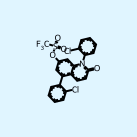 O=c1ccc2c(-c3ccccc3Cl)cc(OS(=O)(=O)C(F)(F)F)cc2n1-c1ccccc1Cl